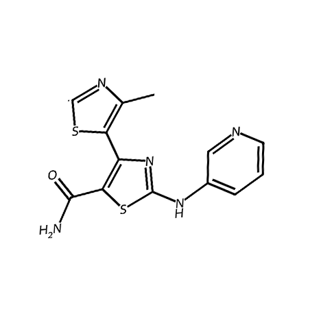 Cc1n[c]sc1-c1nc(Nc2cccnc2)sc1C(N)=O